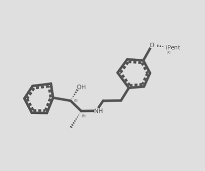 CCC[C@@H](C)Oc1ccc(CCN[C@H](C)[C@@H](O)c2ccccc2)cc1